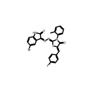 Cc1ccccc1N1C(=O)C(=Cc2ccc(F)cc2)SC1=NN=C1C(=O)Nc2ccc(Br)cc21